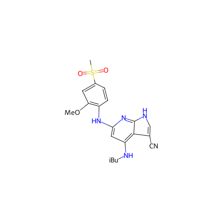 CCC(C)Nc1cc(Nc2ccc(S(C)(=O)=O)cc2OC)nc2[nH]cc(C#N)c12